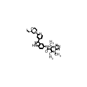 CC1=C(C(=O)Nc2ccc3[nH]nc(-c4ccnc(N5CCO[C@H](CI)C5)c4)c3c2)[C@H](C)n2nnnc2N1C